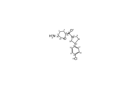 N[C@@H]1CC[C@@H](C(=O)N2CCC(c3ccc(Cl)cc3)C2)OC1